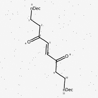 CCCCCCCCCCCCC(=O)/C=C/C(=O)CCCCCCCCCCCC